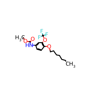 CCCCCCCOc1ccc(NC(=O)OC)cc1OC(F)(F)F